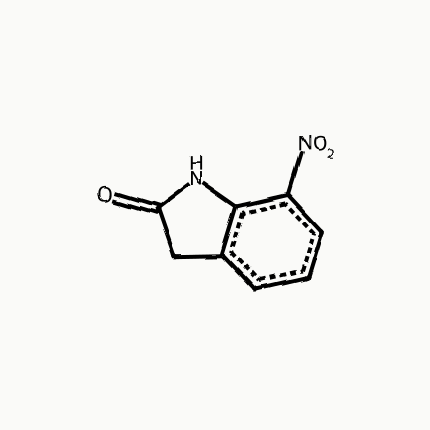 O=C1Cc2cccc([N+](=O)[O-])c2N1